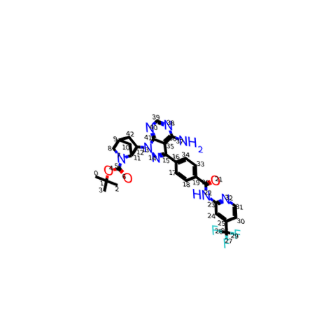 CC(C)(C)OC(=O)N1CC2CC1C(n1nc(-c3ccc(C(=O)Nc4cc(C(F)(F)F)ccn4)cc3)c3c(N)ncnc31)C2